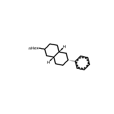 CCCCCCC1CC[C@@H]2C[C@H](c3ccccc3)CC[C@@H]2C1